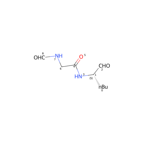 CCCC[C@@H](C=O)NC(=O)CNC=O